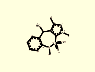 Cc1nn(C)c2c1C(O)c1ccccc1N(C)S2(=O)=O